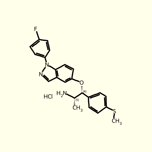 CSc1ccc([C@@H](Oc2ccc3c(cnn3-c3ccc(F)cc3)c2)[C@H](C)N)cc1.Cl